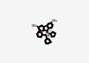 CC(C)(C)c1ccc2c(c1)-c1cc(C(C)(C)C)ccc1[CH]2[Zr]([Cl])([Cl])(=[C](c1ccccc1)c1ccccc1)[CH]1C=CC=C1